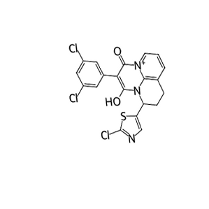 O=c1c(-c2cc(Cl)cc(Cl)c2)c(O)n2c3c(ccc[n+]13)CCC2c1cnc(Cl)s1